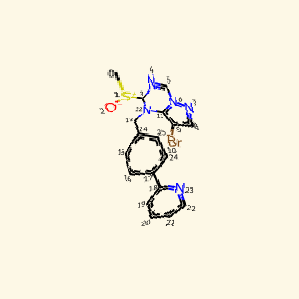 C[S+]([O-])C1N=Cn2ncc(Br)c2N1Cc1ccc(-c2ccccn2)cc1